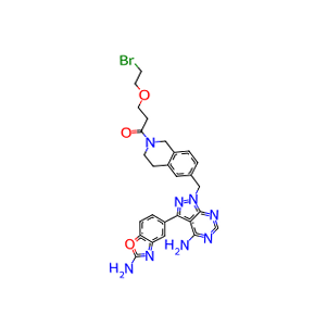 Nc1nc2cc(-c3nn(Cc4ccc5c(c4)CCN(C(=O)CCOCCBr)C5)c4ncnc(N)c34)ccc2o1